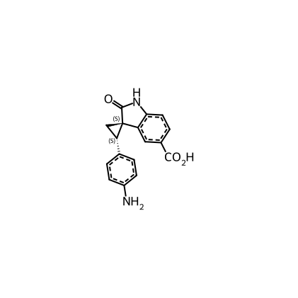 Nc1ccc([C@@H]2C[C@]23C(=O)Nc2ccc(C(=O)O)cc23)cc1